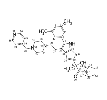 Cc1cc(C)cc(-c2[nH]c3sc(C(C)(C)C(=O)N4C5CCC4CC5)cc3c2CCN2CCN(Cc3ccncc3)CC2)c1